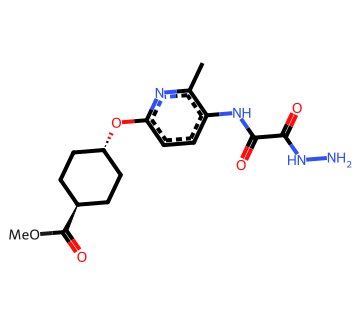 COC(=O)[C@H]1CC[C@H](Oc2ccc(NC(=O)C(=O)NN)c(C)n2)CC1